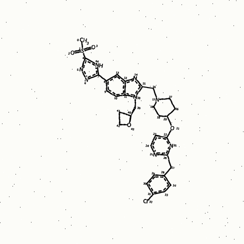 CS(=O)(=O)c1nnc(-c2ccc3c(c2)nc(CN2CCC(Oc4ccnc(Cc5ccc(Cl)cc5)n4)CC2)n3C[C@@H]2CCO2)[nH]1